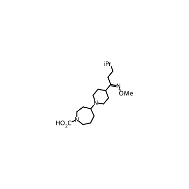 CO/N=C(/CCC(C)C)C1CCN(C2CCCN(C(=O)O)CC2)CC1